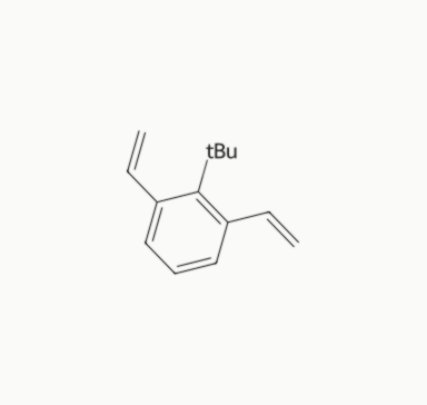 C=Cc1cccc(C=C)c1C(C)(C)C